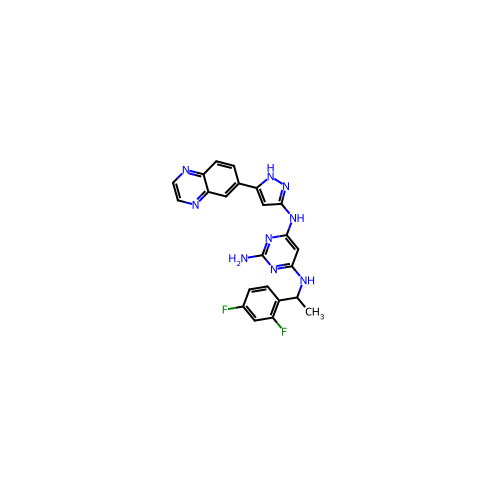 CC(Nc1cc(Nc2cc(-c3ccc4nccnc4c3)[nH]n2)nc(N)n1)c1ccc(F)cc1F